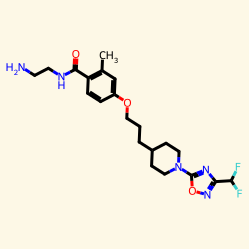 Cc1cc(OCCCC2CCN(c3nc(C(F)F)no3)CC2)ccc1C(=O)NCCN